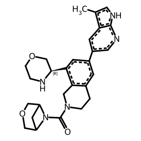 Cc1c[nH]c2ncc(-c3cc4c(c([C@@H]5COCCN5)c3)CN(C(=O)N3C5COCC3C5)CC4)cc12